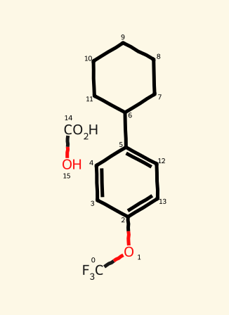 FC(F)(F)Oc1ccc(C2CCCCC2)cc1.O=C(O)O